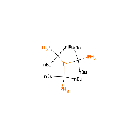 CCCCC(P)(CCCC)P(C(P)(CCCC)CCCC)C(P)(CCCC)CCCC